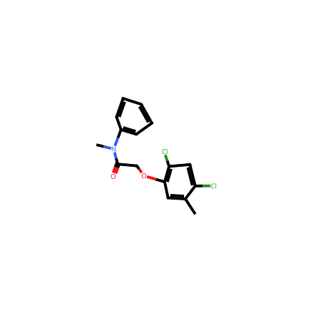 Cc1cc(OCC(=O)N(C)c2ccccc2)c(Cl)cc1Cl